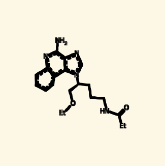 CCOC[C@H](CCCNC(=O)CC)n1cnc2c(N)nc3ccccc3c21